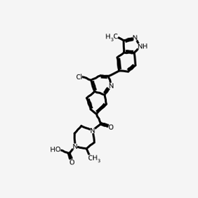 Cc1n[nH]c2ccc(-c3cc(Cl)c4ccc(C(=O)N5CCN(C(=O)O)C(C)C5)cc4n3)cc12